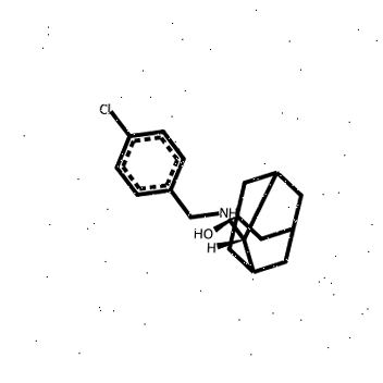 O[C@]12CC3CC(C1)[C@@H](NCc1ccc(Cl)cc1)C(C3)C2